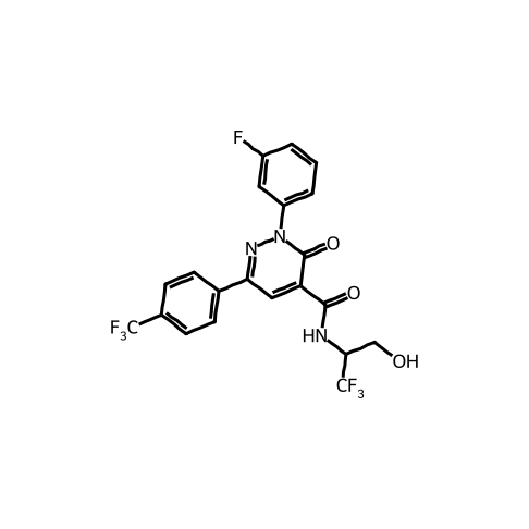 O=C(NC(CO)C(F)(F)F)c1cc(-c2ccc(C(F)(F)F)cc2)nn(-c2cccc(F)c2)c1=O